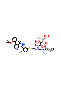 CCOC(=O)NCCN(CCCSc1ccc(Cl)c(CNC2(c3cnccc3-c3ccccc3OC3CC3)CC2)c1)C(=O)C(O)C(O)C(O)C(O)CO